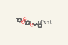 CCCCCC1CCCCC1CCCOc1ccc(C(=O)OC2CCC(C)CC2)cc1